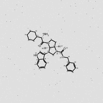 N[C@H](C(=O)N1CC[C@@H]2[C@H]1[C@H](c1c[nH]c3ccccc13)CN2C(=O)OCc1ccccc1)C1CCCCC1